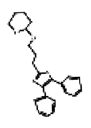 c1ccc(C2=C(c3ccccc3)N=C(CCCOC3CCCCO3)[N]2)cc1